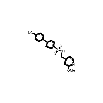 COc1cc(CNS(=O)(=O)c2ccc(-c3ccc(C#N)cc3)cc2)ccn1